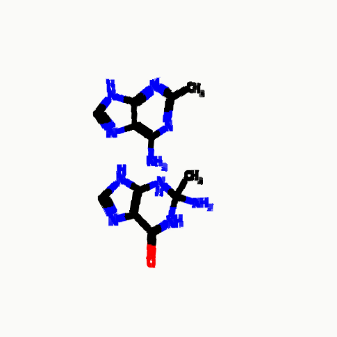 CC1(N)NC(=O)c2nc[nH]c2N1.Cc1nc(N)c2nc[nH]c2n1